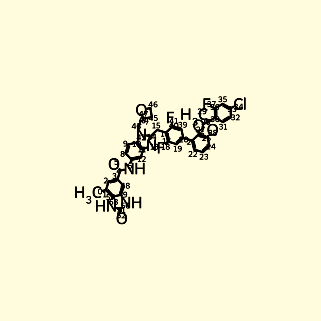 Cc1cc(C(=O)Nc2ccc3c(c2)nc(Cc2c(F)cc(-c4cccc5c4OC(C)(c4ccc(Cl)cc4F)O5)cc2F)n3C[C@@H]2CCO2)cc2[nH]c(=O)[nH]c12